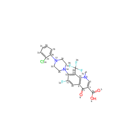 Cn1cc(C(=O)O)c(=O)c2cc(F)c(N3CCN(c4ccccc4Cl)CC3)c(C(F)(F)F)c21